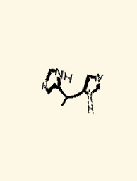 CC(c1cnc[nH]1)c1cnc[nH]1